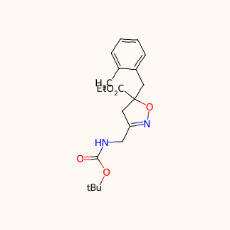 CCOC(=O)C1(Cc2ccccc2C)CC(CNC(=O)OC(C)(C)C)=NO1